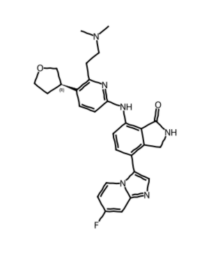 CN(C)CCc1nc(Nc2ccc(-c3cnc4cc(F)ccn34)c3c2C(=O)NC3)ccc1[C@H]1CCOC1